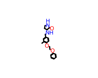 Cc1cc(CNC2CCNC2=O)ccc1OCCOc1ccccc1